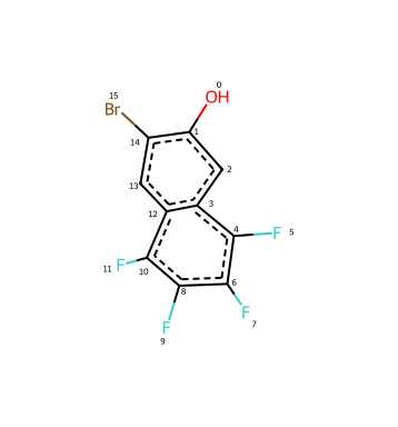 Oc1cc2c(F)c(F)c(F)c(F)c2cc1Br